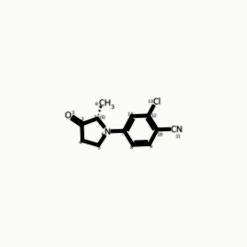 C[C@H]1C(=O)CCN1c1ccc(C#N)c(Cl)c1